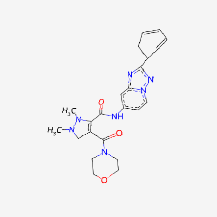 CN1CC(C(=O)N2CCOCC2)=C(C(=O)Nc2ccn3nc(C4C=CC=CC4)nc3c2)N1C